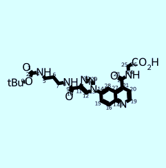 CC(C)(C)OC(=O)NCCCNC(=O)c1cn(-c2ccc3nccc(C(=O)NCC(=O)O)c3c2)nn1